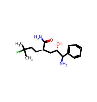 CC(C)(F)CC[C@H](C[C@H](O)C(N)c1ccccc1)C(N)=O